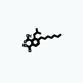 CCCCCCCc1ccc(C(=O)O)c(C(=O)O)c1CC(C)C